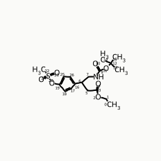 CCOC(=O)CC(CNC(=O)OC(C)(C)C)c1ccc(OS(C)(=O)=O)cc1